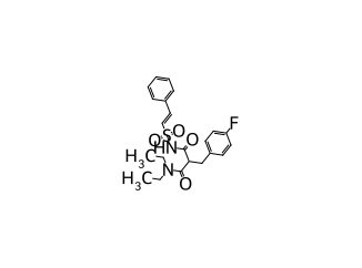 CCN(CC)C(=O)C(Cc1ccc(F)cc1)C(=O)NS(=O)(=O)C=Cc1ccccc1